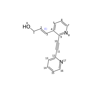 OC/C=C/c1cccnc1C#Cc1ccccn1